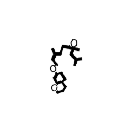 CC(=CCOc1ccc2c(c1)OCCC2)CCC1OC1(C)CC(C)C